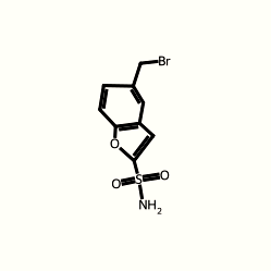 NS(=O)(=O)c1cc2cc(CBr)ccc2o1